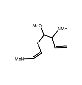 C=CC(NC)C(OC)S/C=C\NC